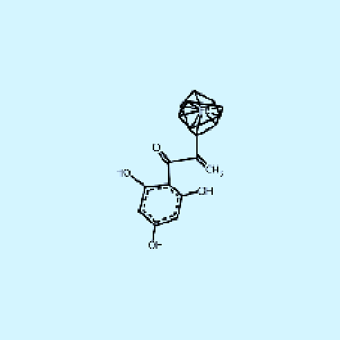 C=C(C(=O)c1c(O)cc(O)cc1O)[C]12[CH]3[CH]4[CH]5[CH]1[Fe]45321678[CH]2[CH]1[CH]6[CH]7[CH]28